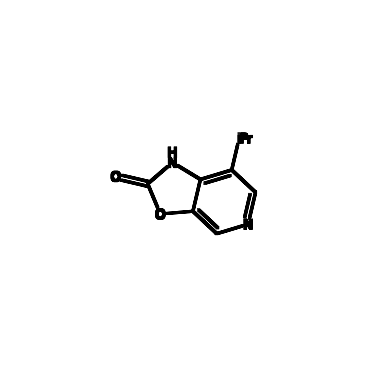 CC(C)c1cncc2oc(=O)[nH]c12